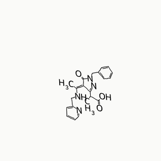 C/C(NCc1ccccn1)=C1\C(=O)N(Cc2ccccc2)N=C1C(C)C(=O)O